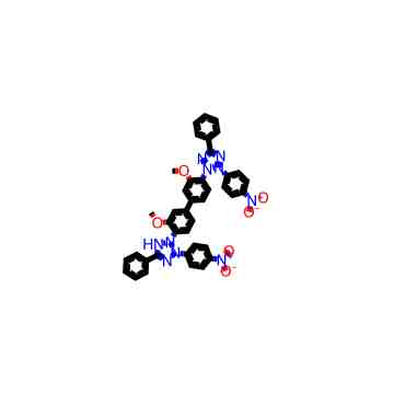 COc1cc(-c2ccc(-[n+]3nc(-c4ccccc4)nn3-c3ccc([N+](=O)[O-])cc3)c(OC)c2)ccc1N1NC(c2ccccc2)=NN1c1ccc([N+](=O)[O-])cc1